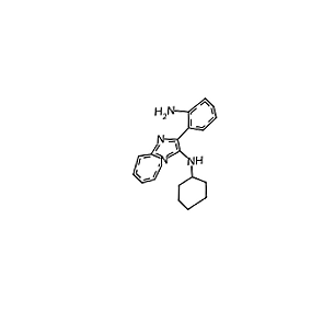 Nc1ccccc1-c1nc2ccccn2c1NC1CCCCC1